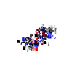 CC(C)C[C@H](NC(=O)[C@@H](NC(=O)CNC(=O)[C@@H]1CCCN1C(=O)[C@H](C)NC(=O)[C@@H]1CCCN1C(=O)[C@H](CC(C)C)NC(=O)[C@H](C)N)[C@@H](C)O)C(N)=O